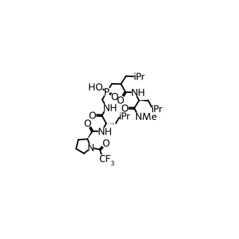 CNC(=O)[C@H](CC(C)C)NC(=O)C(CC(C)C)CP(=O)(O)CNC(=O)[C@H](CC(C)C)NC(=O)[C@@H]1CCCN1C(=O)C(F)(F)F